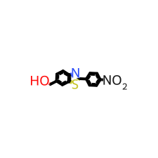 O=[N+]([O-])c1ccc(-c2nc3ccc(CO)cc3s2)cc1